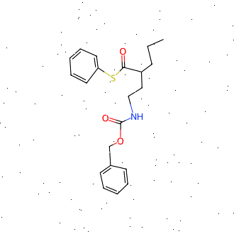 CCCC(CCNC(=O)OCc1ccccc1)C(=O)Sc1ccccc1